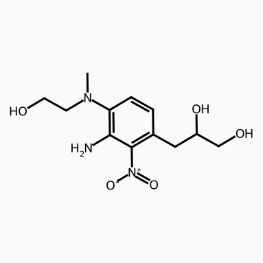 CN(CCO)c1ccc(CC(O)CO)c([N+](=O)[O-])c1N